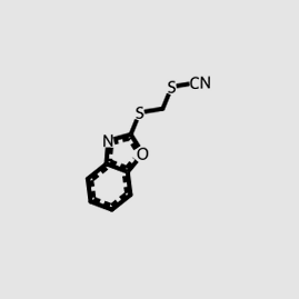 N#CSCSc1nc2ccccc2o1